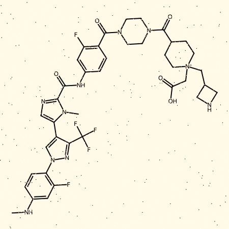 CNc1ccc(-n2cc(-c3cnc(C(=O)Nc4ccc(C(=O)N5CCN(C(=O)C6CC[N+](CC(=O)O)(CC7CNC7)CC6)CC5)c(F)c4)n3C)c(C(F)(F)F)n2)c(F)c1